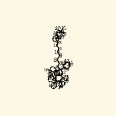 CCOC(=O)C(CCCCCCCCO[Si](C)(C)C(C)(C)C)(Cc1c(Br)c(OC)c(OC)c(OC)c1OC)c1ccccc1